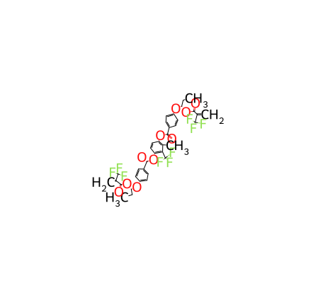 C=C(C(=O)OC(CC)Oc1ccc(C(=O)Oc2ccc(OC(=O)c3ccc(OC(CC)OC(=O)C(=C)C(F)(F)F)cc3)c(C(F)(F)F)c2C)cc1)C(F)(F)F